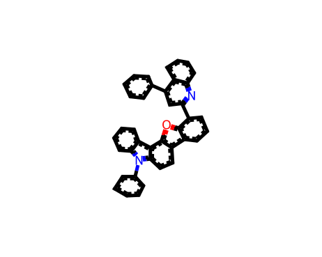 c1ccc(-c2cc(-c3cccc4c3oc3c4ccc4c3c3ccccc3n4-c3ccccc3)nc3ccccc23)cc1